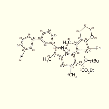 CCOC(=O)[C@@H](OC(C)(C)C)c1c(C)nc2c(C)c(-c3cccc(-c4cccc(F)c4)c3)nn2c1-c1cc(F)c2c(c1C)CCCO2